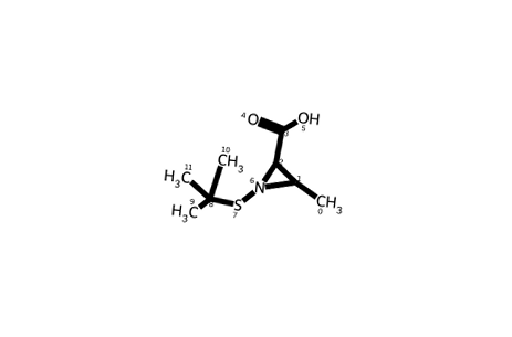 CC1C(C(=O)O)N1SC(C)(C)C